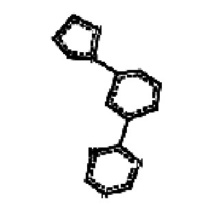 c1cc(-c2ncncn2)cc(-n2cccn2)c1